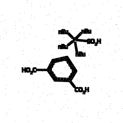 CCCCP(CCCC)(CCCC)(CCCC)S(=O)(=O)O.O=C(O)c1cccc(C(=O)O)c1